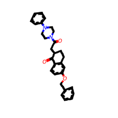 O=C1c2ccc(OCc3ccccc3)cc2CCC1CC(=O)N1CCN(c2ccccc2)CC1